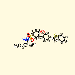 CC(C)[C@@H](NS(=O)(=O)c1ccc2oc3cc(-c4cc5ccccc5s4)ccc3c2c1)C(=O)O